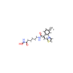 O=C(CCCCCNC(=O)/C(=C/c1nccs1)c1ccc(C(F)(F)F)cc1)NO